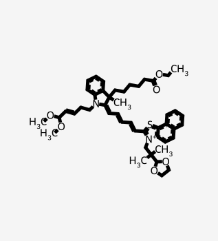 CCOC(=O)CCCCCC1(C)\C(=C/C=C/C=C/c2sc3c4ccccc4ccc3[n+]2CC(C)(C)C2OCCO2)N(CC/C=C/C(OC)OC)c2ccccc21